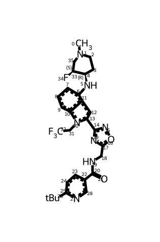 CN1CC[C@@H](Nc2cccc3c2cc(-c2noc(CNC(=O)c4ccc(C(C)(C)C)nc4)n2)n3CC(F)(F)F)[C@@H](F)C1